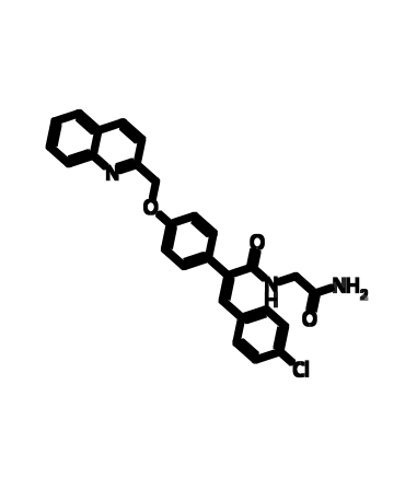 NC(=O)CNC(=O)C(=Cc1ccc(Cl)cc1)c1ccc(OCc2ccc3ccccc3n2)cc1